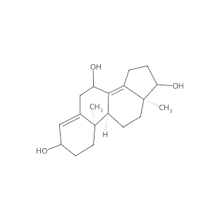 C[C@]12CC[C@@H]3C(=C1CCC2O)C(O)CC1=CC(O)CC[C@@]13C